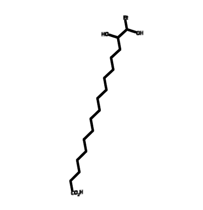 CCC(O)C(O)CCCCCCCCCCCCCCC(=O)O